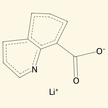 O=C([O-])c1cccc2cccnc12.[Li+]